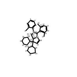 Cc1ccccc1N1C(c2c(C)cccc2C)N2C=CC(C3CCCCC3)(C3CCCCC3)C2[C@@H]1C